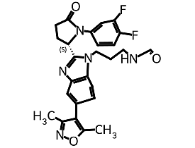 Cc1noc(C)c1-c1ccc2c(c1)nc([C@@H]1CCC(=O)N1c1ccc(F)c(F)c1)n2CCCNC=O